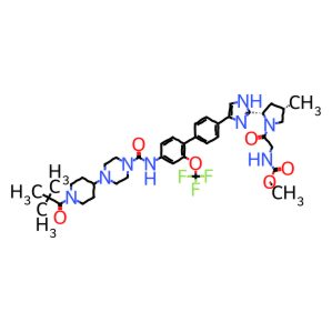 COC(=O)NCC(=O)N1C[C@@H](C)C[C@H]1c1nc(-c2ccc(-c3ccc(NC(=O)N4CCN(C5CCN(C(=O)C(C)(C)C)CC5)CC4)cc3OC(F)(F)F)cc2)c[nH]1